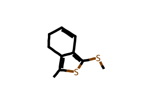 CSc1sc(C)c2c1C=CCC2